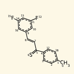 Cc1ccc(C(=S)C=Cc2cc(F)cc(F)c2)cc1